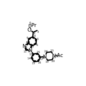 CCCOC(C)c1ccc2c(c1)ncn2-c1cccc(N2CCN(C(C)=O)CC2)c1